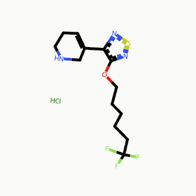 Cl.FC(F)(F)CCCCCOc1nsnc1C1=CCCNC1